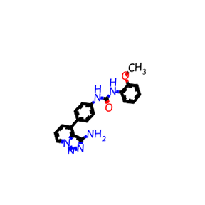 COc1ccccc1NC(=O)Nc1ccc(-c2cccn3nnc(N)c23)cc1